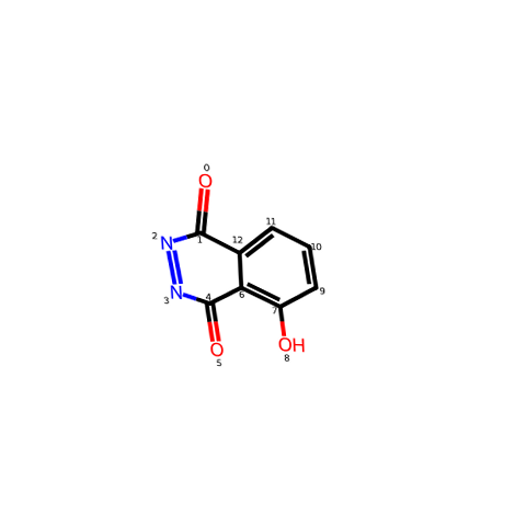 O=C1N=NC(=O)c2c(O)cccc21